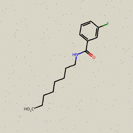 O=C(O)CCCCCCCNC(=O)c1cccc(F)c1